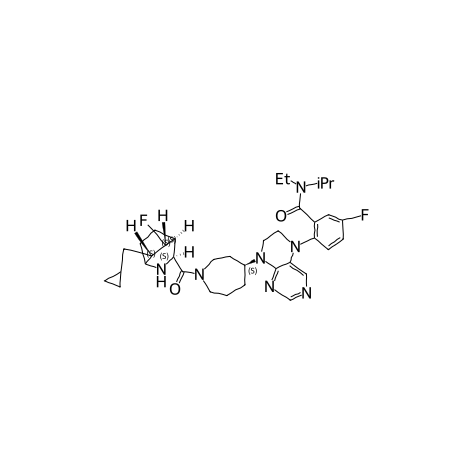 CCN(C(=O)c1cc(F)ccc1N1CCN([C@H]2CCCN(C(=O)[C@H]3NC4CC[C@@H]3[C@@H](F)[C@H]4CC3CC3)CC2)c2ncncc21)C(C)C